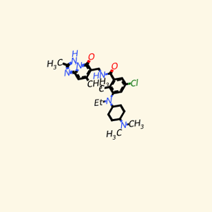 CCN(c1cc(Cl)cc(C(=O)NCc2c(C)cc3nc(C)[nH]n3c2=O)c1C)C1CCC(N(C)C)CC1